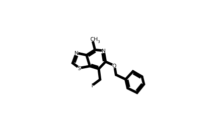 Cc1nc(OCc2ccccc2)c(CI)c2scnc12